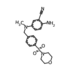 CN(Cc1ccc(S(=O)(=O)N2CCOCC2)cc1)c1ccc(N)c(C#N)c1